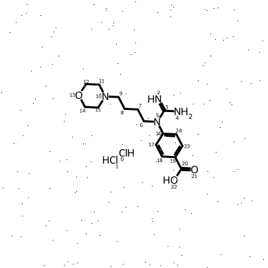 Cl.Cl.N=C(N)N(CCCCN1CCOCC1)c1ccc(C(=O)O)cc1